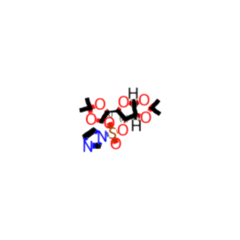 CC1(C)O[C@H]2OC([C@H]3COC(C)(C)O3)[C@@H](OS(=O)(=O)n3ccnc3)[C@H]2O1